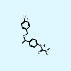 CC(OCc1ccc(C(F)(F)F)cc1)c1ccc(NC(=O)N(C)C)cc1